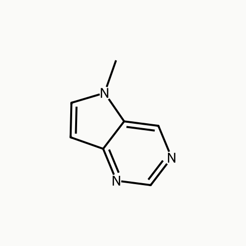 Cn1ccc2ncncc21